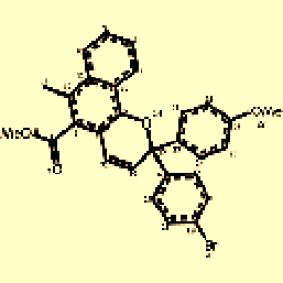 COC(=O)c1c2c(c3ccccc3c1C)OC(c1ccc(Br)cc1)(c1ccc(OC)cc1)C=C2